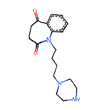 O=C1CCC(=O)N(CCCCN2CCNCC2)c2ccccc21